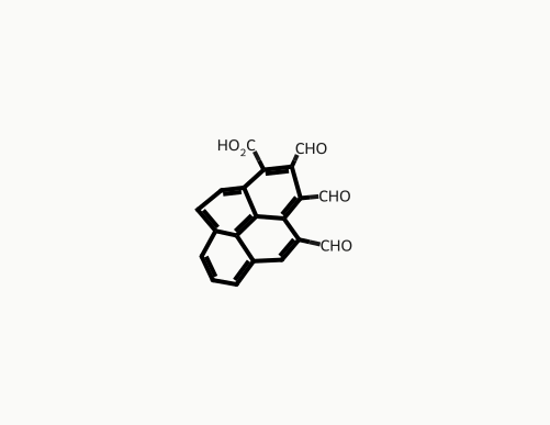 O=Cc1c(C(=O)O)c2ccc3cccc4cc(C=O)c(c1C=O)c2c34